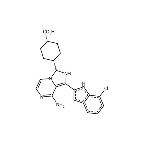 NC1=NC=CN2C1=C(c1cc3cccc(Cl)c3[nH]1)NC2[C@H]1CC[C@@H](C(=O)O)CC1